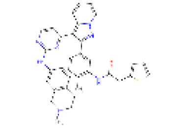 Cc1ccc(-c2nn3ccccc3c2-c2ccnc(Nc3ccc4c(c3)CN(C)CC4)n2)cc1NC(=O)Cc1cccs1